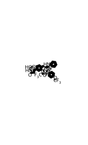 O=C1CC(c2ccc(C[C@@H](c3nc4ccccc4[nH]3)N(OC(=O)C(F)(F)F)S(=O)(=O)c3ccc(OC(F)(F)F)cc3)cc2)S(O)(O)N1